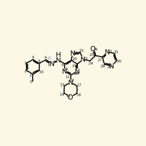 Cc1cccc(/C=N/Nc2nc(N3CCOCC3)nc3c2ncn3CC(=O)c2cnccn2)c1